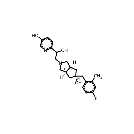 Cc1cc(F)ccc1C[C@@]1(O)C[C@H]2CN(CC(O)c3ccc(O)cn3)C[C@H]2C1